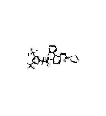 Cc1ccccc1-c1c(NC(=O)C(C)(C)c2cc(C(F)(F)F)cc(C(F)(F)F)c2)ccc2nc(N3CCOCC3)ccc12